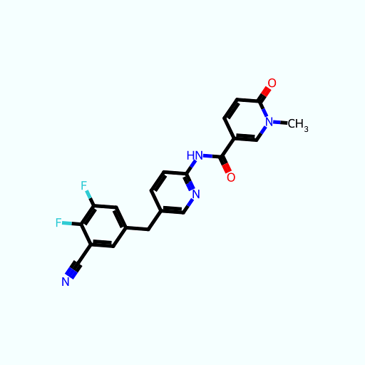 Cn1cc(C(=O)Nc2ccc(Cc3cc(F)c(F)c(C#N)c3)cn2)ccc1=O